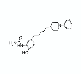 NC(=O)Nc1cc(CCCCCN2CCN(c3ccccc3)CC2)ccc1O